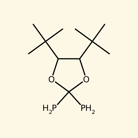 CC(C)(C)C1OC(P)(P)OC1C(C)(C)C